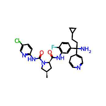 C[C@@H]1C[C@H](C(=O)Nc2cc(C(N)(CCC3CC3)C3=CC=NC=CC3)ccc2F)N(C(=O)Nc2ccc(Cl)cn2)C1